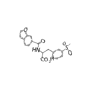 CS(=O)(=O)c1cccc(CC(NC(=O)c2ccc3ccoc3c2)C(=O)O)c1